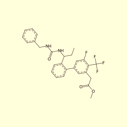 CCC(NC(=O)NCc1ccccc1)c1ccccc1-c1cc(F)c(C(F)(F)F)c(CC(=O)OC)c1